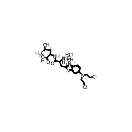 CC(C)CC(NC(=O)C(N)Cc1nc2cc(N(CCCl)CCCl)ccc2n1C)C(=O)O.Cl.Cl